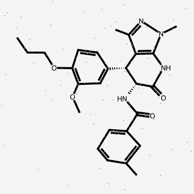 CCCOc1ccc([C@@H]2c3c(C)nn(C)c3NC(=O)[C@@H]2NC(=O)c2cccc(C)c2)cc1OC